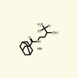 Br.CCCCCCCCC(CCNC(=O)C12CC3CC(CC(C3)C1)C2)C(N)(CC)CC